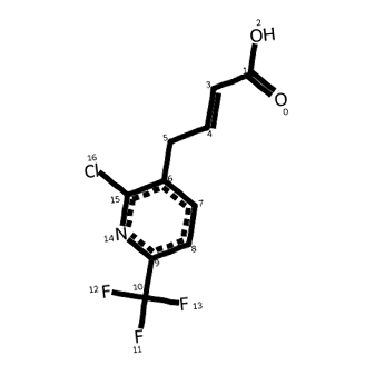 O=C(O)C=CCc1ccc(C(F)(F)F)nc1Cl